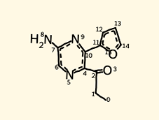 CCC(=O)c1ncc(N)nc1-c1ccco1